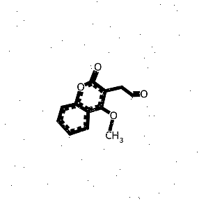 COc1c(C[C]=O)c(=O)oc2ccccc12